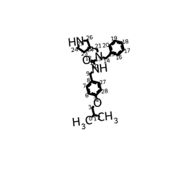 CC(C)COc1ccc(CNC(=O)N(Cc2ccccc2)C[C@H]2CCNC2)cc1